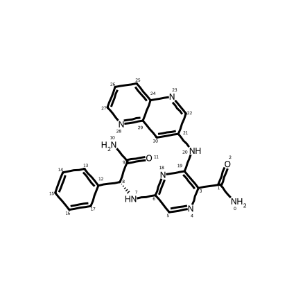 NC(=O)c1ncc(N[C@@H](C(N)=O)c2ccccc2)nc1Nc1cnc2cccnc2c1